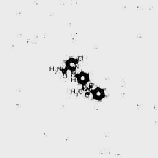 CN(c1cccc(Nc2nc(Cl)ccc2C(N)=O)c1)S(=O)(=O)c1ccccc1